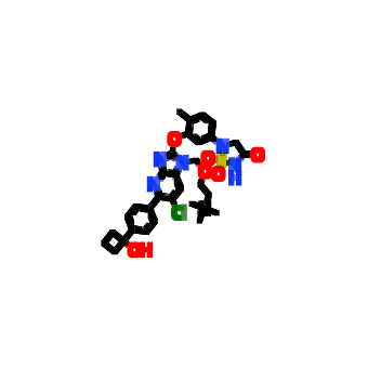 Cc1ccc(N2CC(=O)NS2(=O)=O)cc1Oc1nc2nc(-c3ccc(C4(O)CCC4)cc3)c(Cl)cc2n1COCC[Si](C)(C)C